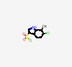 N#Cc1c(Cl)ccc2c(S(=O)(=O)Cl)c[nH]c12